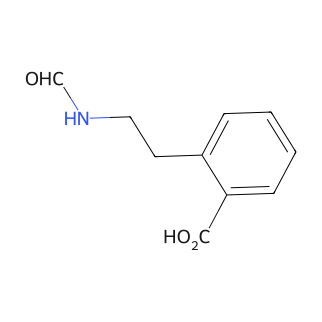 O=CNCCc1ccccc1C(=O)O